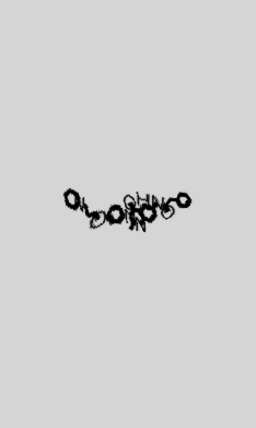 Cc1nc2ccc(NC(=O)Cc3ccccc3)cc2c(=O)n1-c1ccc(OCCCN2CCCCC2)cc1